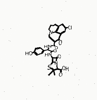 CC1(C)SC2C(NC(=O)C(NC(=O)c3cn4c5c(cc(Cl)cc5c3=O)CCC4)c3ccc(O)cc3)C(=O)N2C1C(=O)O